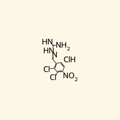 Cl.N=C(N)NN=Cc1ccc([N+](=O)[O-])c(Cl)c1Cl